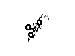 CCC1CCC(CN2N=C(c3ccc(F)cc3F)C(c3ccccc3)C2C)CC1